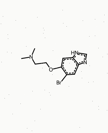 CN(C)CCOc1cc2[nH]cnc2cc1Br